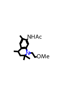 COCCN1c2cc(NC(C)=O)c(C)cc2C(C)CC1(C)C